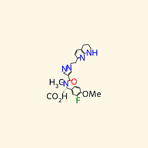 COc1ccc([C@H](CC(=O)O)N(C)C(=O)c2cnn(CCc3ccc4c(n3)NCCC4)c2)cc1F